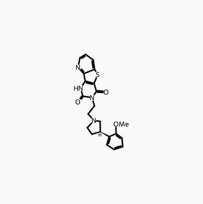 COc1ccccc1[C@H]1CCN(CCn2c(=O)[nH]c3c(sc4cccnc43)c2=O)C1